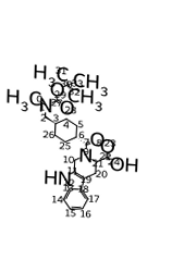 CN(C[C@H]1CC[C@H](C(=O)N2Cc3[nH]c4ccccc4c3CC2C(=O)O)CC1)C(=O)OC(C)(C)C